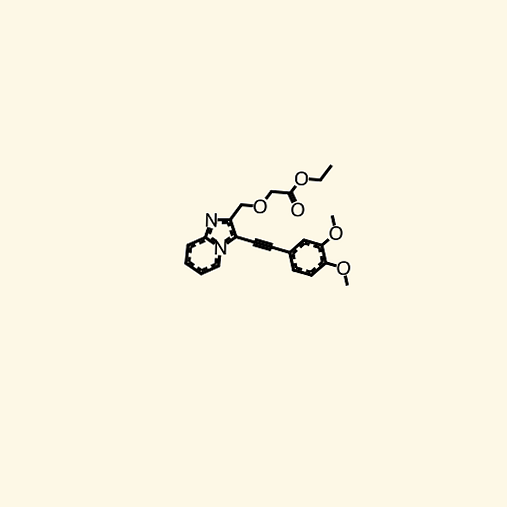 CCOC(=O)COCc1nc2ccccn2c1C#Cc1ccc(OC)c(OC)c1